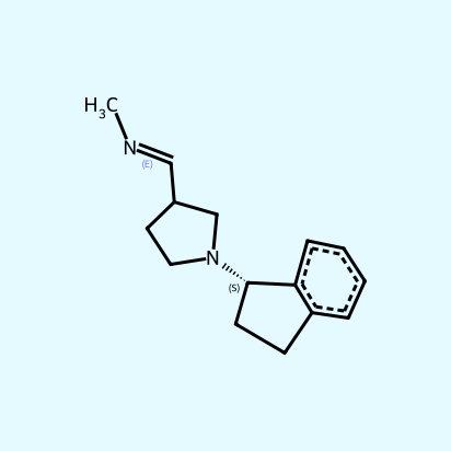 C/N=C/C1CCN([C@H]2CCc3ccccc32)C1